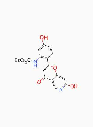 CCOC(=O)Nc1cc(O)ccc1-c1cc(=O)c2cnc(O)cc2o1